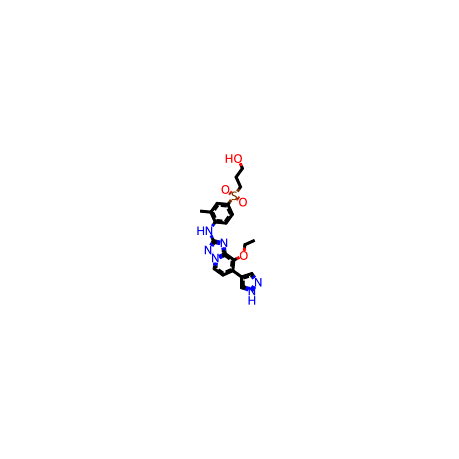 CCOc1c(-c2cn[nH]c2)ccn2nc(Nc3ccc(S(=O)(=O)CCCO)cc3C)nc12